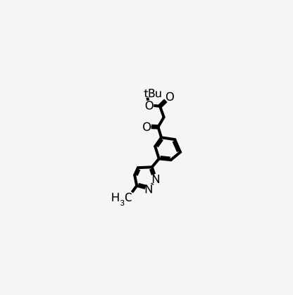 Cc1ccc(-c2cccc(C(=O)CC(=O)OC(C)(C)C)c2)nn1